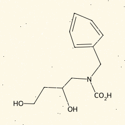 O=C(O)N(Cc1ccccc1)CC(O)CCO